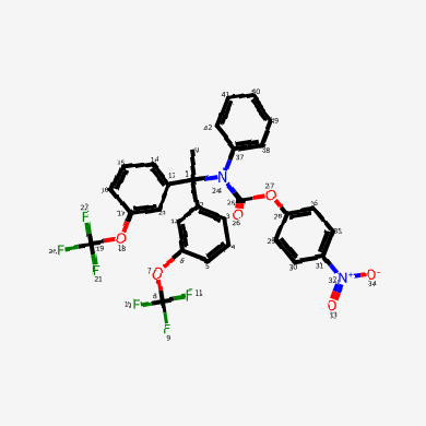 CC(c1cccc(OC(F)(F)F)c1)(c1cccc(OC(F)(F)F)c1)N(C(=O)Oc1ccc([N+](=O)[O-])cc1)c1ccccc1